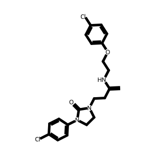 C=C(CCN1CCN(c2ccc(Cl)cc2)C1=O)NCCOc1ccc(Cl)cc1